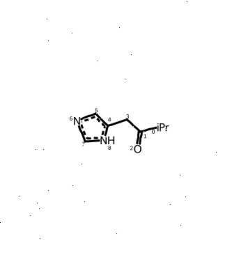 CC(C)C(=O)Cc1cnc[nH]1